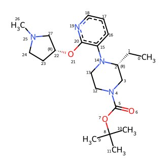 CC[C@@H]1CN(C(=O)OC(C)(C)C)CCN1c1cccnc1O[C@@H]1CCN(C)C1